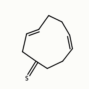 S=C1C/C=C/CC/C=C\CC1